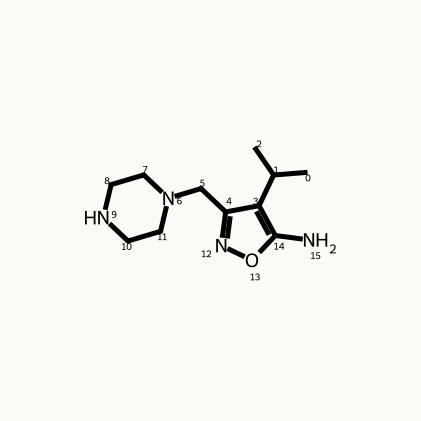 CC(C)c1c(CN2CCNCC2)noc1N